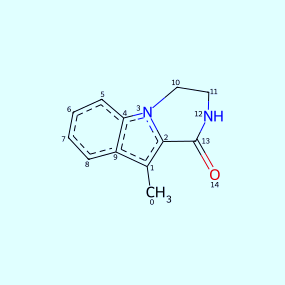 Cc1c2n(c3ccccc13)CCNC2=O